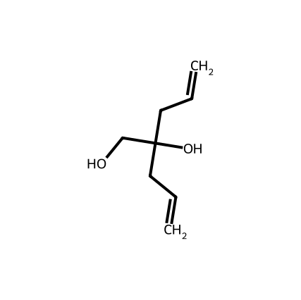 C=CCC(O)(CO)CC=C